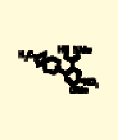 CN/C=C(\C=N)c1cc([N+](=O)[O-])c(OC)cc1N1CCC2(CC1)CN(C)C2